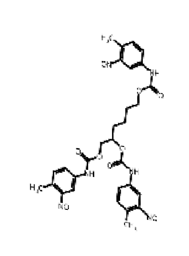 Cc1ccc(NC(=O)OCCCCC(COC(=O)Nc2ccc(C)c(N=O)c2)OC(=O)Nc2ccc(C)c(N=O)c2)cc1N=O